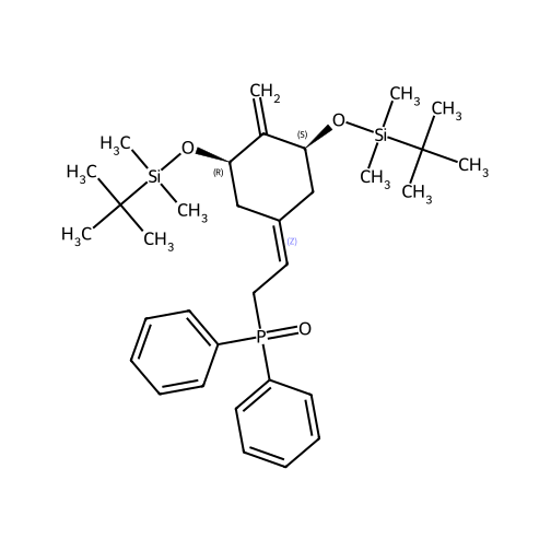 C=C1[C@@H](O[Si](C)(C)C(C)(C)C)C/C(=C/CP(=O)(c2ccccc2)c2ccccc2)C[C@H]1O[Si](C)(C)C(C)(C)C